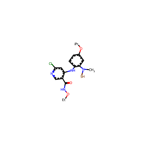 CCONC(=O)c1cnc(Cl)cc1Nc1ccc(OC(C)C)cc1N(C)S